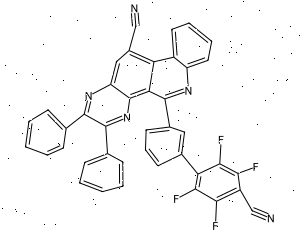 N#Cc1c(F)c(F)c(-c2cccc(-c3nc4ccccc4c4c(C#N)cc5nc(-c6ccccc6)c(-c6ccccc6)nc5c34)c2)c(F)c1F